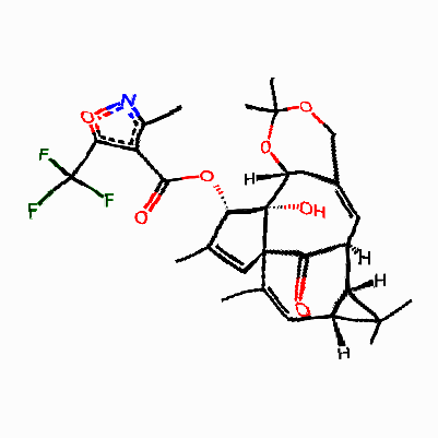 CC1=C[C@]23C(=O)[C@@H](C=C4COC(C)(C)O[C@H]4[C@]2(O)[C@H]1OC(=O)c1c(C)noc1C(F)(F)F)[C@H]1[C@@H](C=C3C)C1(C)C